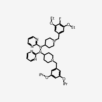 CCOc1cc(CN2CCC(N(c3ncccn3)N(c3ncccn3)C3CCN(Cc4cc(OC(C)C)cc(OC(C)C)c4)CC3)CC2)cc(OCC)c1F